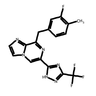 Cc1ccc(Cc2nc(-c3nc(C(F)(F)F)n[nH]3)cn3ccnc23)cc1F